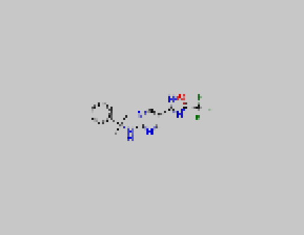 CC(C)(Nc1ncc(-c2noc(C(F)(F)F)n2)cn1)c1ccccc1